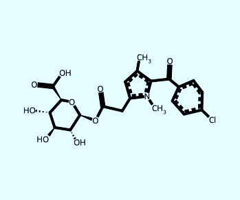 Cc1cc(CC(=O)O[C@@H]2O[C@H](C(=O)O)[C@@H](O)[C@H](O)[C@H]2O)n(C)c1C(=O)c1ccc(Cl)cc1